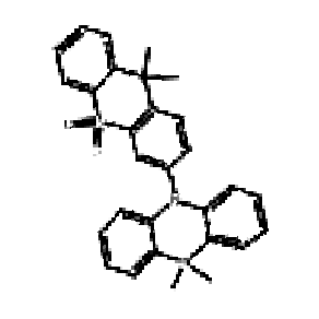 CC1(C)c2ccccc2S(=O)(=O)c2cc(N3c4ccccc4[Si](C)(C)c4ccccc43)ccc21